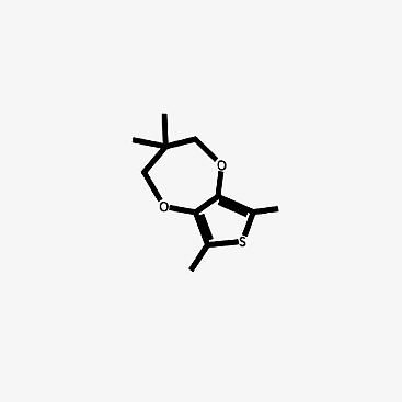 Cc1sc(C)c2c1OCC(C)(C)CO2